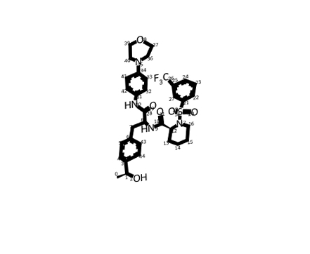 C[C@H](O)c1ccc(CC(NC(=O)[C@@H]2CCCCN2S(=O)(=O)c2cccc(C(F)(F)F)c2)C(=O)Nc2ccc(N3CCOCC3)cc2)cc1